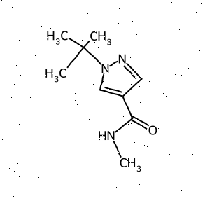 CNC(=O)c1cnn(C(C)(C)C)c1